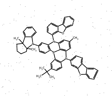 Cc1cc2c3c(c1)N(c1cccc4c1oc1ccccc14)c1cc(N4c5ccccc5C5(C)CCCCC45C)ccc1B3c1cc(C(C)(C)C)ccc1N2c1ccc2c(c1)sc1ccccc12